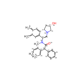 C=C/C=C\C(=C/C=C)[C@@H](CN1CC[C@H](O)C1)N(C)C(=O)C(C(/C=C\C)=C/C)c1ccccc1